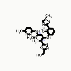 C=N/C(=C\C(Nc1cccc(-c2ncn(C)n2)c1OC)=C(/C)c1nnc(CO)o1)Nc1ccc(C)nn1